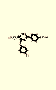 CCOC(=O)c1nnc(-c2ccc(OC)cc2)nc1Oc1ccc(Cl)cc1